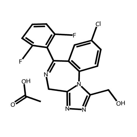 CC(=O)O.OCc1nnc2n1-c1ccc(Cl)cc1C(c1c(F)cccc1F)=NC2